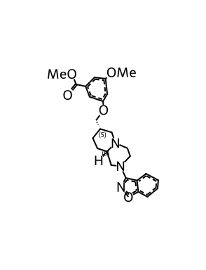 COC(=O)c1cc(OC)cc(OC[C@H]2CC[C@H]3CN(c4noc5ccccc45)CCN3C2)c1